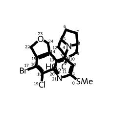 CSc1cc(N2C3CCC2CN(C(=O)O)C3)c2c3c(c(Br)c(Cl)c2n1)COC3